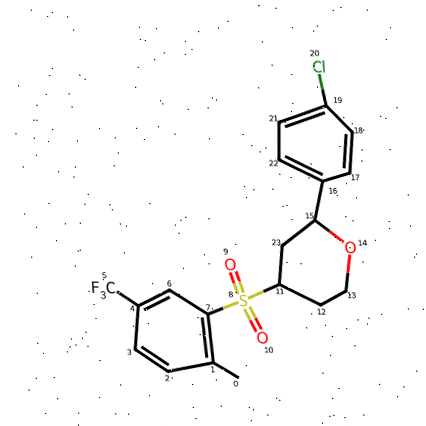 Cc1ccc(C(F)(F)F)cc1S(=O)(=O)C1CCOC(c2ccc(Cl)cc2)C1